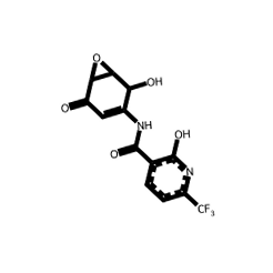 O=C(NC1=CC(=O)C2OC2C1O)c1ccc(C(F)(F)F)nc1O